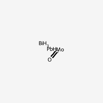 [BiH3].[O]=[Mo].[PbH2]